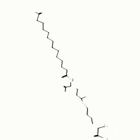 O=C(O)CCCCCCCCCCCCC(=O)N[C@@H](CCC(O)NCCCC[C@H](NP)C(=O)O)C(=O)O